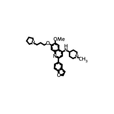 COc1cc2c(NC3CCN(C)CC3)cc(-c3ccc4occc4c3)nc2cc1OCCCN1CCCC1